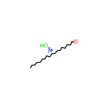 CCCCCCCCCCCCCCCCCC=O.CN(C)C.Cl